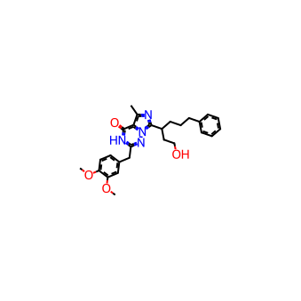 COc1ccc(Cc2nn3c(C(CCO)CCCc4ccccc4)nc(C)c3c(=O)[nH]2)cc1OC